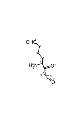 NC(CCCC=O)C(=O)N=C=O